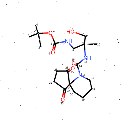 CC(C)(C)OC(=O)NC[C@](C)(CO)NC(=O)N1CCCCC12C(=O)CCC2=O